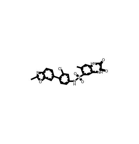 Cc1nc2ccc(-c3ccc(NS(=O)(=O)c4cc5[nH]c(=O)c(=O)[nH]c5cc4C)cc3Cl)cc2o1